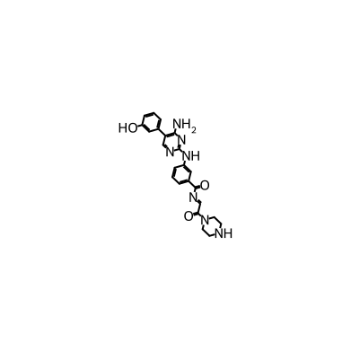 Nc1nc(Nc2cccc(C(=O)N=CC(=O)N3CCNCC3)c2)ncc1-c1cccc(O)c1